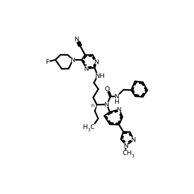 CCC[C@@H](CCCNc1ncc(C#N)c(N2CCC(F)CC2)n1)N(C(=O)NCc1ccccc1)c1ccc(-c2cnn(C)c2)cn1